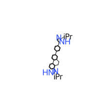 CC(C)c1ncc(-c2ccc(-c3ccc4c(c3)CCc3c-4ccc4[nH]c(C(C)C)nc34)cc2)[nH]1